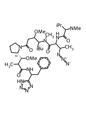 CCC(C)C(C(CC(=O)N1CCC[C@H]1C(OC)C(C)C(=O)NC(Cc1ccccc1)c1nnn[nH]1)OC)N(C)C(=O)C(NC(=O)C(NC)C(C)C)C(C)N=[N+]=[N-]